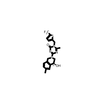 Cc1ccc2c(c1)[C@H](O)CN(c1nc(C)n(Cc3ccc(C(F)(F)F)s3)c(=O)n1)C2